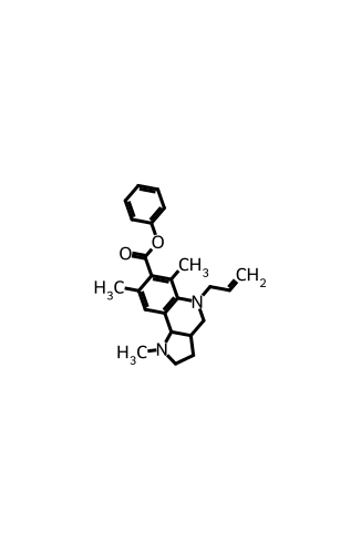 C=CCN1CC2CCN(C)C2c2cc(C)c(C(=O)Oc3ccccc3)c(C)c21